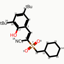 CC(C)(C)c1cc(/C=C(\C#N)S(=O)(=O)CC2CCCCC2)c(O)c(C(C)(C)C)c1